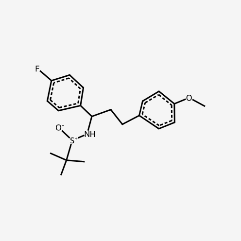 COc1ccc(CCC(N[S+]([O-])C(C)(C)C)c2ccc(F)cc2)cc1